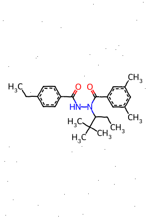 CCc1ccc(C(=O)NN(C(=O)c2cc(C)cc(C)c2)C(CC)C(C)(C)C)cc1